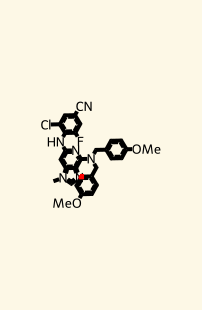 COc1ccc(CN(Cc2ccc(OC)cc2)c2nc(Nc3c(F)cc(C#N)cc3Cl)cc3c2ncn3C)cc1